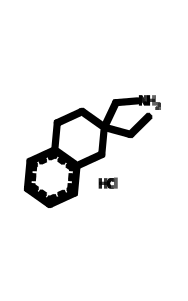 CCC1(CN)CCc2ccccc2C1.Cl